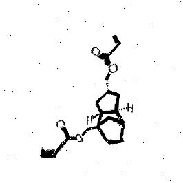 C=CC(=O)OC[C@H]1C[C@@H]2[C@@H](C1)C1CCC2(COC(=O)C=C)C1